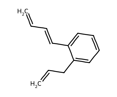 C=CC=Cc1ccccc1CC=C